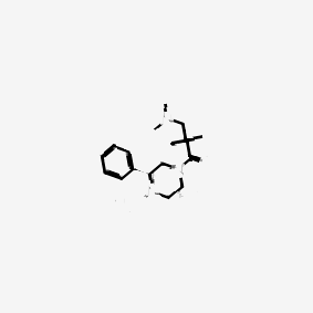 C[C@@H]1CN(C(=O)O)[C@@H](c2ccccc2)CN1C(=O)C(C)(C)CN(C)C